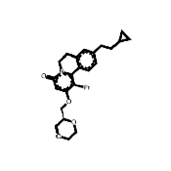 CC(C)c1c(OC[C@@H]2COCCO2)cc(=O)n2c1-c1ccc(CCC3CC3)cc1CC2